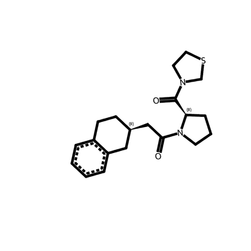 O=C([C@H]1CCCN1C(=O)C[C@@H]1CCc2ccccc2C1)N1CCSC1